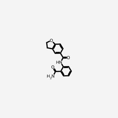 NC(=O)c1ccccc1NC(=O)c1ccc2c(c1)CCO2